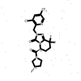 O=C([C@@H]1CCC(F)(F)c2nn(Cc3ncc(C(F)(F)F)cc3Cl)c(=O)n21)N1CC[C@H](F)C1